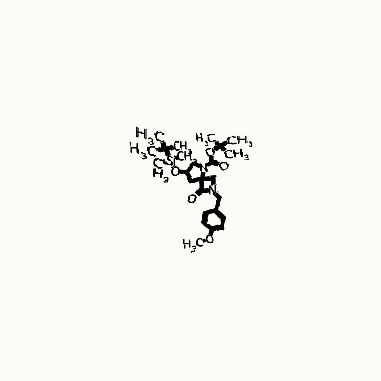 COc1ccc(CN2CC3(CC(O[Si](C)(C)C(C)(C)C)CN3C(=O)OC(C)(C)C)C2=O)cc1